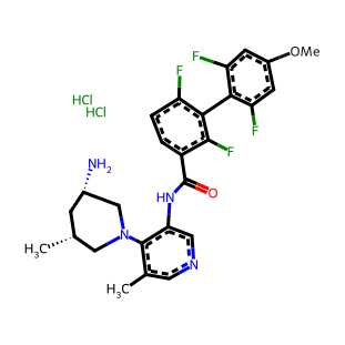 COc1cc(F)c(-c2c(F)ccc(C(=O)Nc3cncc(C)c3N3C[C@H](C)C[C@H](N)C3)c2F)c(F)c1.Cl.Cl